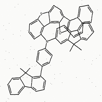 CC1(C)c2ccccc2-c2ccc(N(c3ccc(-c4cccc5c4C(C)(C)c4ccccc4-5)cc3)c3cccc4sc5ccc6c(oc7ccc8ccccc8c76)c5c34)cc21